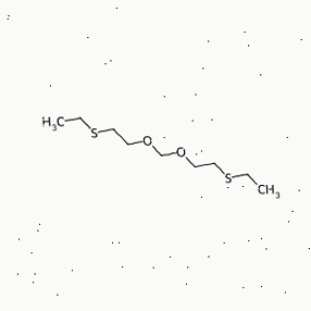 CCSCCOCOCCSCC